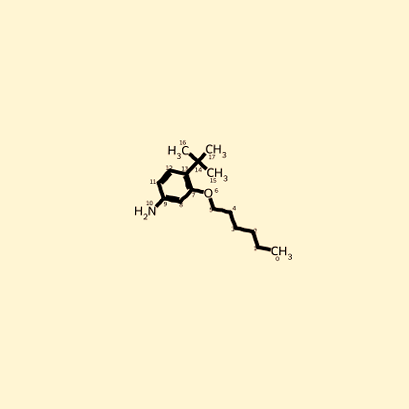 CCCCCCOc1cc(N)ccc1C(C)(C)C